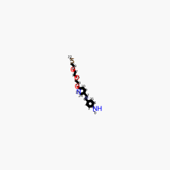 CNc1ccc(/C=C/c2ccc(OCCOCCOCCSC)nc2)cc1